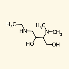 CCNCC(O)C(CO)N(C)C